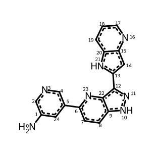 Nc1cncc(-c2ccc3[nH]nc(-c4cc5ncccc5[nH]4)c3n2)c1